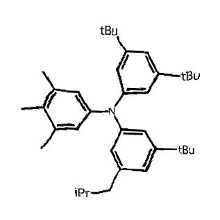 Cc1cc(N(c2cc(CC(C)C)cc(C(C)(C)C)c2)c2cc(C(C)(C)C)cc(C(C)(C)C)c2)cc(C)c1C